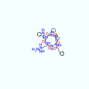 N=C(N)NCCC[C@@H]1NC(=O)[C@H](Cc2c[nH]c3ccccc23)NC(=O)[C@@H](CC2CCCCC2)NC(=O)[C@@H]2CCCN2C(=O)[C@@H](NC(=O)CCc2ccccc2)CNC1=O